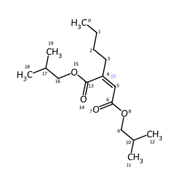 CCCC/C(=C/C(=O)OCC(C)C)C(=O)OCC(C)C